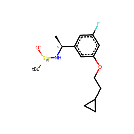 C[C@H](N[S@@+]([O-])C(C)(C)C)c1cc(F)cc(OCCC2CC2)c1